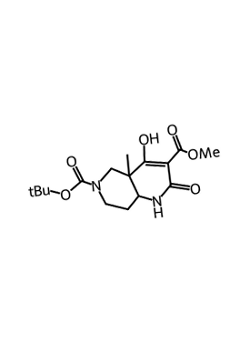 COC(=O)C1=C(O)C2(C)CN(C(=O)OC(C)(C)C)CCC2NC1=O